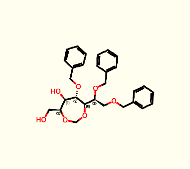 OC[C@@H]1OCO[C@H]([C@H](COCc2ccccc2)OCc2ccccc2)[C@@H](OCc2ccccc2)[C@@H]1O